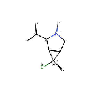 CC(C)C1C2C(CN1C)[C@]2(C)Cl